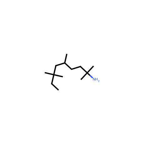 CCC(C)(C)CC(C)CCC(C)(C)N